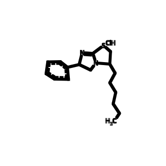 CCCCCCC1CSC2=NC(c3ccccc3)CN21.Cl